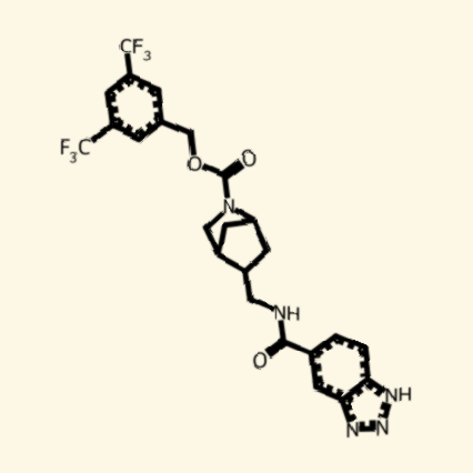 O=C(NCC1CC2CC1CN2C(=O)OCc1cc(C(F)(F)F)cc(C(F)(F)F)c1)c1ccc2[nH]nnc2c1